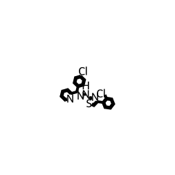 Clc1ccc(/C(=N\Nc2nc(-c3ccccc3Cl)cs2)c2ccccn2)cc1